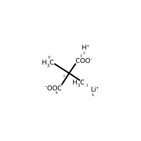 CC(C)(C(=O)[O-])C(=O)[O-].[H+].[Li+]